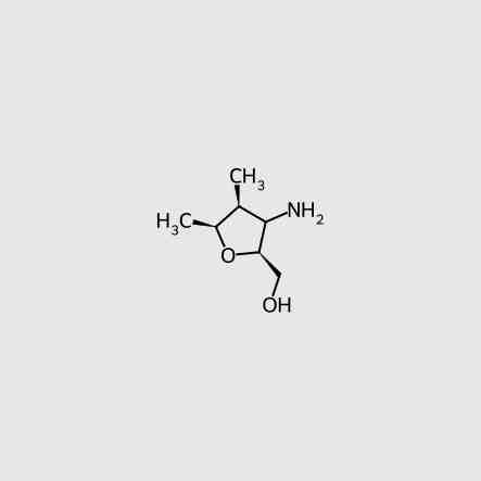 C[C@@H]1O[C@H](CO)C(N)[C@@H]1C